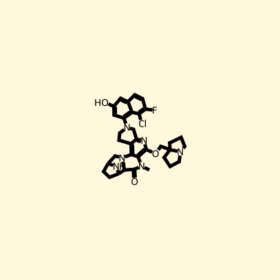 CN1C(=O)C2C3CCC(CN2c2c4c(nc(OCC56CCCN5CCC6)c21)CN(c1cc(O)cc2ccc(F)c(Cl)c12)CC4)N3